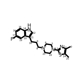 Cc1nc(N2CCN(CCCc3c[nH]c4ccc(F)cc34)CC2)sc1C